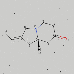 C/C=C1/C[C@H]2CC(=O)CCN2C1